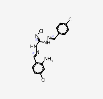 Nc1cc(Cl)ccc1/C=N/N/C(=N/Cl)N/N=C/c1ccc(Cl)cc1